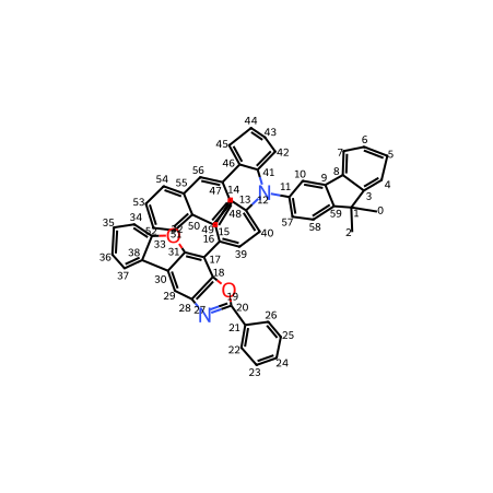 CC1(C)c2ccccc2-c2cc(N(c3ccc(-c4c5oc(-c6ccccc6)nc5cc5c4oc4ccccc45)cc3)c3ccccc3-c3ccc4ccccc4c3)ccc21